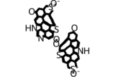 O=C1Cc2cc3[nH]c4cc5c6c(cc7sc8c(OOc9cc%10ncc%11[nH]c%12cc%13c%14c%15c(c%16sc9c9c%10c%11c%12c%14c%169)C[S+]([O-])CC%15CC%13=O)c(c2c2c3c4c6c7c82)C1)C[S+]([O-])C5